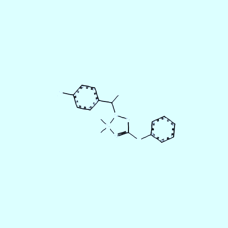 CCOC(=O)[N+]1(C(=O)OCC)N=C(Sc2ccccc2)NN1C(CC)c1ccc([N+](=O)[O-])cc1